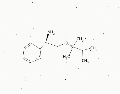 CC(C)[Si](C)(C)OC[C@H](N)c1ccccc1